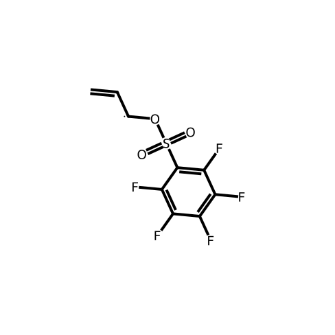 C=C[CH]OS(=O)(=O)c1c(F)c(F)c(F)c(F)c1F